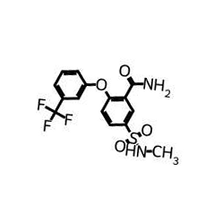 CNS(=O)(=O)c1ccc(Oc2cccc(C(F)(F)F)c2)c(C(N)=O)c1